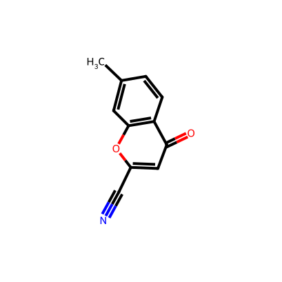 Cc1ccc2c(=O)cc(C#N)oc2c1